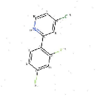 Fc1ccc(-c2cc(Cl)ccn2)c(F)c1